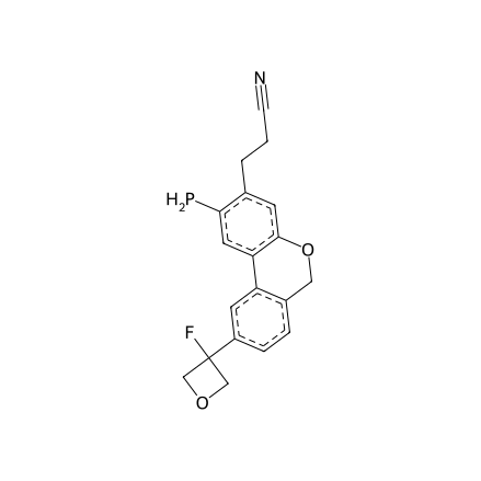 N#CCCc1cc2c(cc1P)-c1cc(C3(F)COC3)ccc1CO2